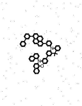 CC1(C)c2ccccc2N(c2cccc(-c3ccc4ccc5c(-c6cccc(-c7ccccc7)c6)ccc6ccc3c4c65)c2)c2ccc(-c3ccc4c(c3)N(c3cccc5ccccc35)c3ccc5ccccc5c3O4)cc21